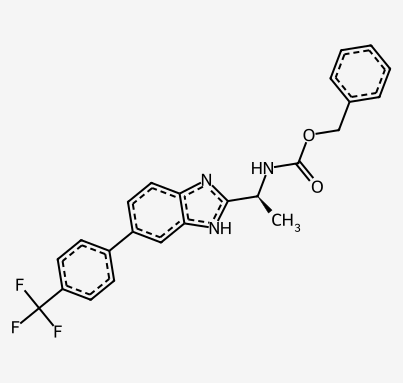 C[C@H](NC(=O)OCc1ccccc1)c1nc2ccc(-c3ccc(C(F)(F)F)cc3)cc2[nH]1